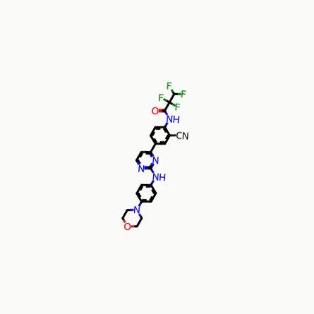 N#Cc1cc(-c2ccnc(Nc3ccc(N4CCOCC4)cc3)n2)ccc1NC(=O)C(F)(F)C(F)F